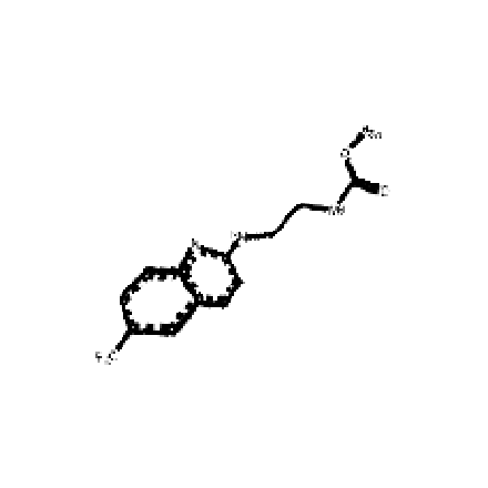 CC(C)(C)OC(=O)NCCNc1ccc2cc(C(F)(F)F)ccc2n1